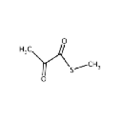 CSC(=O)C(C)=O